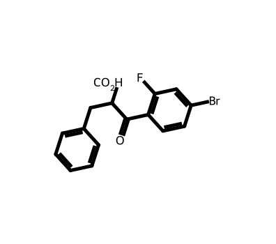 O=C(O)C(Cc1ccccc1)C(=O)c1ccc(Br)cc1F